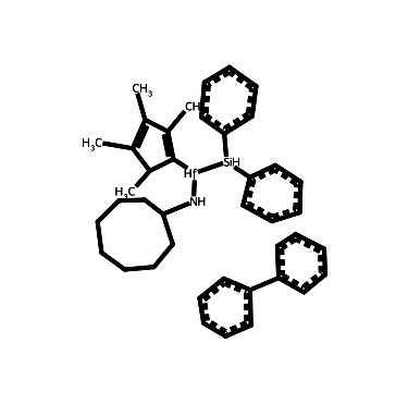 CC1=C(C)C(C)[C]([Hf]([NH]C2CCCCCCC2)[SiH](c2ccccc2)c2ccccc2)=C1C.c1ccc(-c2ccccc2)cc1